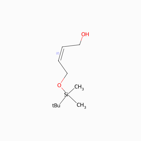 CC(C)(C)[Si](C)(C)OC/C=C\CO